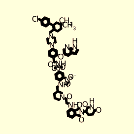 CC1(C)CCC(CN2CCN(c3ccc(C(=O)NS(=O)(=O)c4ccc(NCC5CCCN(C(=O)CNc6cccc7c6C(=O)N(C6CCC(=O)NC6=O)C7=O)C5)c([N+](=O)[O-])c4)c(Oc4cnc5[nH]ccc5c4)c3)CC2)=C(c2ccc(Cl)cc2)C1